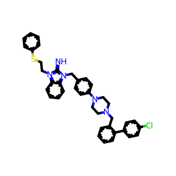 N=c1n(CCSc2ccccc2)c2ccccc2n1Cc1ccc(N2CCN(Cc3ccccc3-c3ccc(Cl)cc3)CC2)cc1